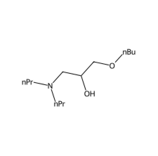 CCCCOCC(O)CN(CCC)CCC